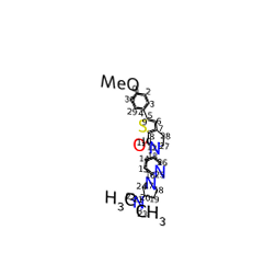 COc1ccc(-c2cc3c(s2)C(=O)N(c2ccc(N4CCC(N(C)C)C4)nc2)CC3)cc1